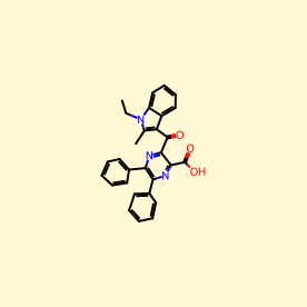 CCn1c(C)c(C(=O)c2nc(-c3ccccc3)c(-c3ccccc3)nc2C(=O)O)c2ccccc21